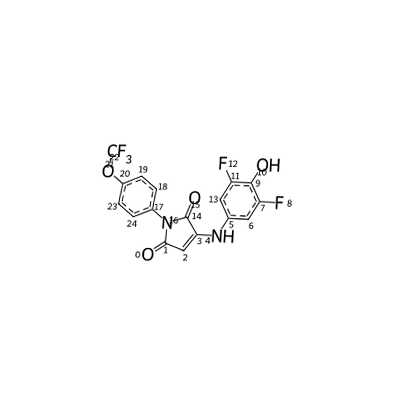 O=C1C=C(Nc2cc(F)c(O)c(F)c2)C(=O)N1c1ccc(OC(F)(F)F)cc1